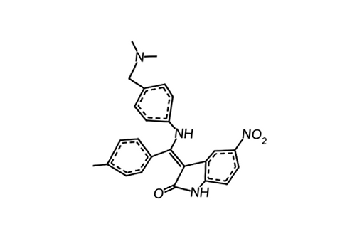 Cc1ccc(C(Nc2ccc(CN(C)C)cc2)=C2C(=O)Nc3ccc([N+](=O)[O-])cc32)cc1